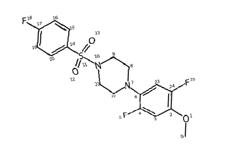 COc1cc(F)c(N2CCN(S(=O)(=O)c3ccc(F)cc3)CC2)cc1F